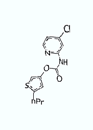 CCCc1cc(OC(=O)Nc2cc(Cl)ccn2)cs1